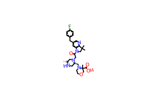 C[C@@H]1CN(CC(=O)N2CC(C)(C)c3ncc(Cc4ccc(F)cc4)cc32)[C@@H](CN2CCOCC2(C)C(=O)O)CN1